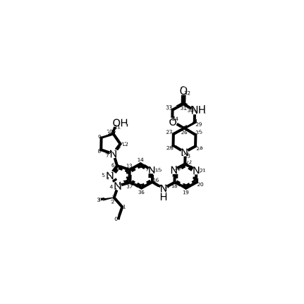 CC[C@@H](C)n1nc(N2CCC(O)C2)c2cnc(Nc3ccnc(N4CCC5(CC4)CNC(=O)CO5)n3)cc21